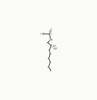 CCCCCCCCOB([O-])[O-].[Li+].[Li+]